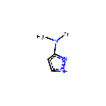 [CH2]CN(C)c1cc[nH]n1